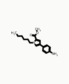 CCCCCCn1cc(-c2ccc(N)cc2)cc1C(=O)OC